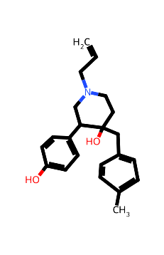 C=CCN1CCC(O)(Cc2ccc(C)cc2)C(c2ccc(O)cc2)C1